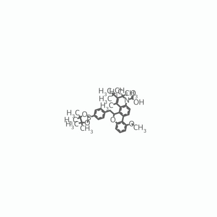 COc1cccc2c1-c1ccc3c(c1C(Cc1ccc(B4OC(C)(C)C(C)(C)O4)cc1)O2)C(C)=C(C(C)(C)C)C(C)(C)N3C(=O)O